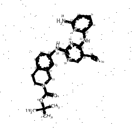 CC(C)(C)OC(=O)N1CCc2ccc(Nc3ncc(C#N)c(Nc4cccc(N)n4)n3)cc2C1